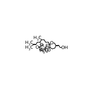 COC1(OC)CCC(=CCO)CO[C@@]1(C)CCCC(C)C(CC=C(C)C)OC(C)=O